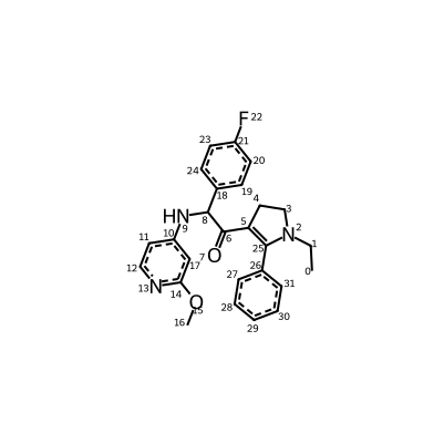 CCN1CCC(C(=O)C(Nc2ccnc(OC)c2)c2ccc(F)cc2)=C1c1ccccc1